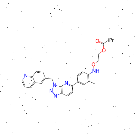 Cc1cc(-c2ccc3nnn(Cc4ccc5ncccc5c4)c3n2)ccc1NOCCOC(=O)C(C)C